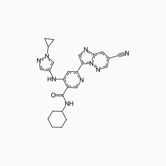 N#Cc1cnn2c(-c3cc(Nc4cnn(C5CC5)c4)c(C(=O)NC4CCCCC4)cn3)cnc2c1